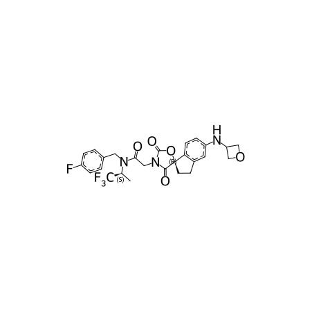 C[C@H](N(Cc1ccc(F)cc1)C(=O)CN1C(=O)O[C@@]2(CCc3cc(NC4COC4)ccc32)C1=O)C(F)(F)F